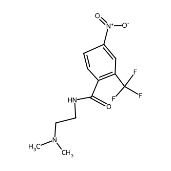 CN(C)CCNC(=O)c1ccc([N+](=O)[O-])cc1C(F)(F)F